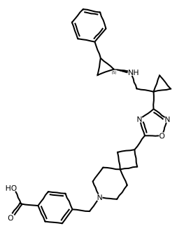 O=C(O)c1ccc(CN2CCC3(CC2)CC(c2nc(C4(CN[C@H]5CC5c5ccccc5)CC4)no2)C3)cc1